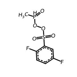 C[PH](=O)OOS(=O)(=O)c1cc(F)ccc1F